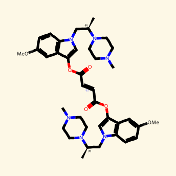 COc1ccc2c(c1)c(OC(=O)/C=C/C(=O)Oc1cn(C[C@@H](C)N3CCN(C)CC3)c3ccc(OC)cc13)cn2C[C@@H](C)N1CCN(C)CC1